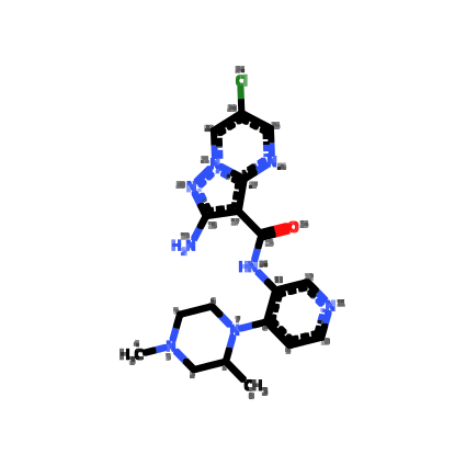 CC1CN(C)CCN1c1ccncc1NC(=O)c1c(N)nn2cc(Cl)cnc12